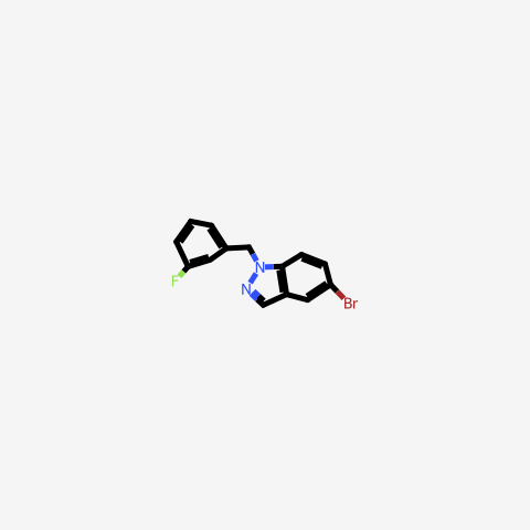 Fc1cccc(Cn2ncc3cc(Br)ccc32)c1